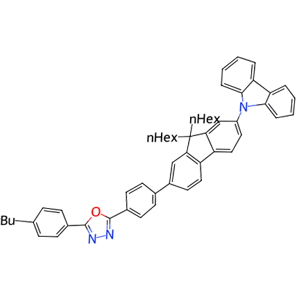 CCCCCCC1(CCCCCC)c2cc(-c3ccc(-c4nnc(-c5ccc(C(C)(C)C)cc5)o4)cc3)ccc2-c2ccc(-n3c4ccccc4c4ccccc43)cc21